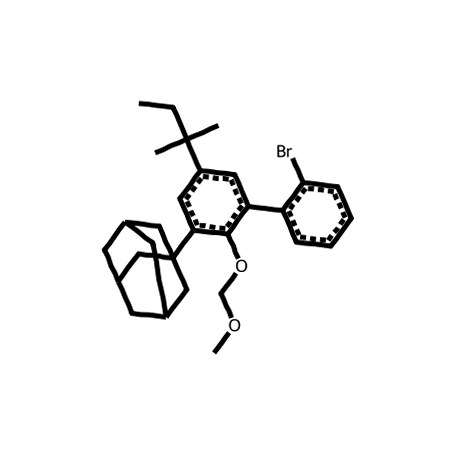 CCC(C)(C)c1cc(-c2ccccc2Br)c(OCOC)c(C23CC4CC(CC(C4)C2)C3)c1